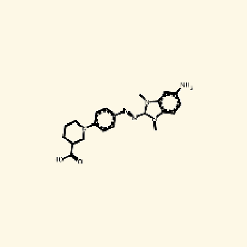 CN1c2ccc(N)cc2N(C)C1N=Nc1ccc(N2CCCC(C(=O)O)C2)cc1